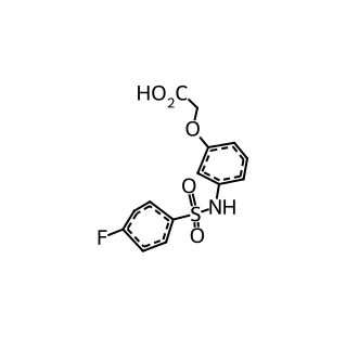 O=C(O)COc1cccc(NS(=O)(=O)c2ccc(F)cc2)c1